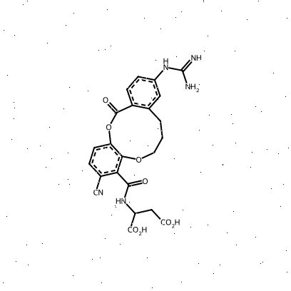 N#Cc1ccc2c(c1C(=O)NC(CC(=O)O)C(=O)O)OCCCc1cc(NC(=N)N)ccc1C(=O)O2